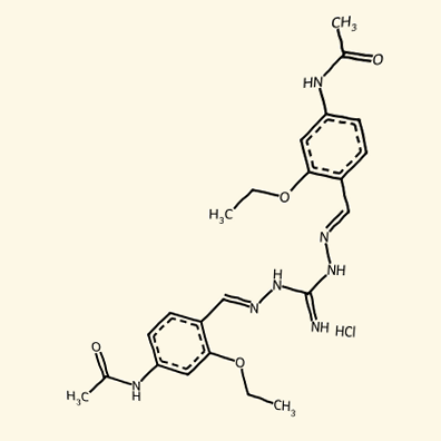 CCOc1cc(NC(C)=O)ccc1C=NNC(=N)NN=Cc1ccc(NC(C)=O)cc1OCC.Cl